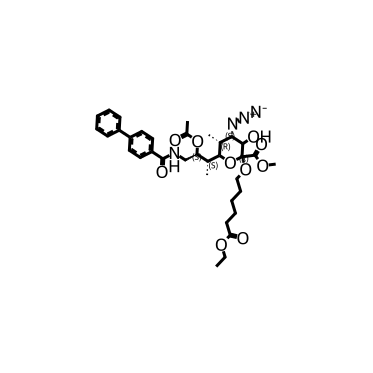 CCOC(=O)CCCCCO[C@@]1(C(=O)OC)OC([C@H](C)[C@@H](CNC(=O)c2ccc(-c3ccccc3)cc2)OC(C)=O)[C@H](C)[C@H](N=[N+]=[N-])C1O